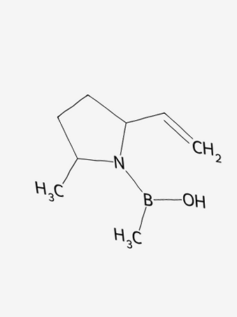 C=CC1CCC(C)N1B(C)O